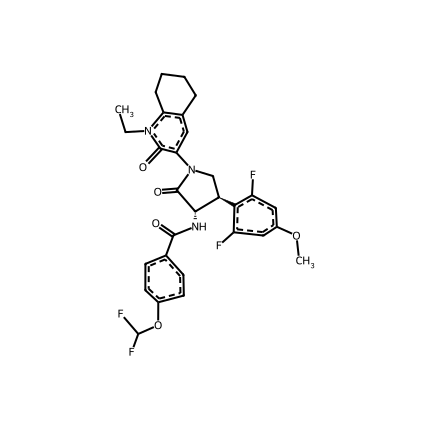 CCn1c2c(cc(N3C[C@@H](c4c(F)cc(OC)cc4F)[C@H](NC(=O)c4ccc(OC(F)F)cc4)C3=O)c1=O)CCCC2